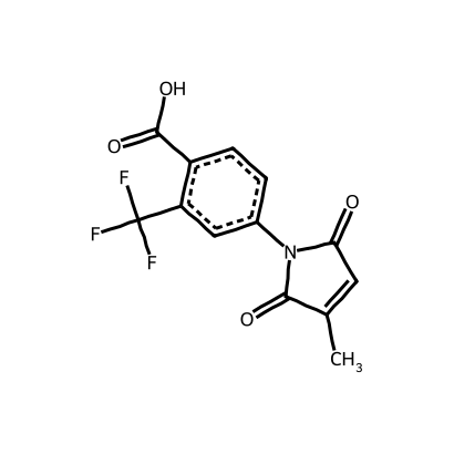 CC1=CC(=O)N(c2ccc(C(=O)O)c(C(F)(F)F)c2)C1=O